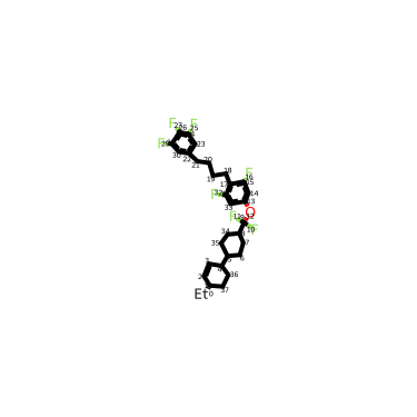 CCC1C=CC(C2CCC(C(F)(F)Oc3cc(F)c(CCCCc4cc(F)c(F)c(F)c4)c(F)c3)CC2)CC1